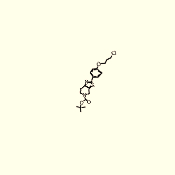 CC(C)(C)OC(=O)N1CCc2nc(-c3ccc(OCCCCl)cc3)sc2C1